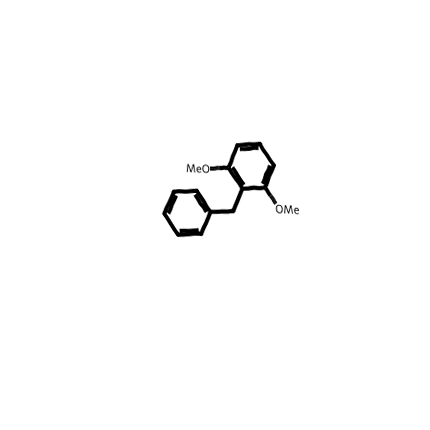 COc1cccc(OC)c1Cc1ccccc1